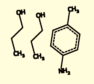 CCCO.CCCO.Cc1ccc(N)cc1